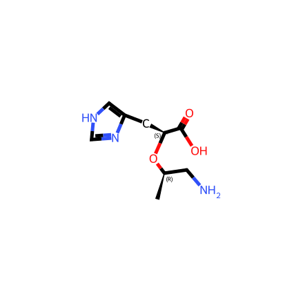 C[C@H](CN)O[C@@H](Cc1c[nH]cn1)C(=O)O